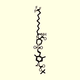 Cc1cc(N(C)C(=O)OC(C)(C)C)cc(C)c1/C=C/S(=O)(=O)N1CCC2(CC1)N=C(CCCCCCCCC(F)(F)F)NC2=O